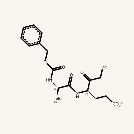 CC[C@H](C)[C@H](NC(=O)OCc1ccccc1)C(=O)N[C@@H](CCC(=O)O)C(=O)C[C](C)C